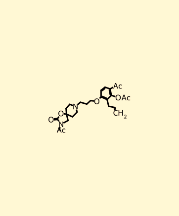 C=CCc1c(OCCCN2CCC3(CC2)CN(C(C)=O)C(=O)O3)ccc(C(C)=O)c1OC(C)=O